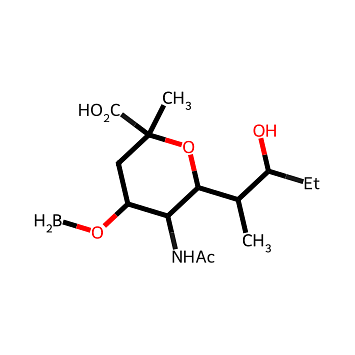 BOC1CC(C)(C(=O)O)OC(C(C)C(O)CC)C1NC(C)=O